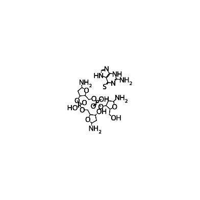 NC1CC(O)C(COP(=O)(O)OC2CC(N)OC2COP(=O)(O)OC2CC(N)OC2CO)O1.Nc1nc(=S)c2[nH]cnc2[nH]1